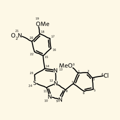 COc1cc(Cl)ccc1-c1nnc2n1N=C(c1ccc(OC)c([N+](=O)[O-])c1)CS2